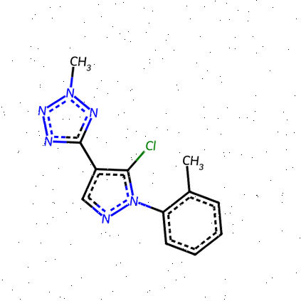 Cc1ccccc1-n1ncc(-c2nnn(C)n2)c1Cl